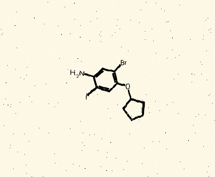 Nc1cc(Br)c(OC2CCCC2)cc1I